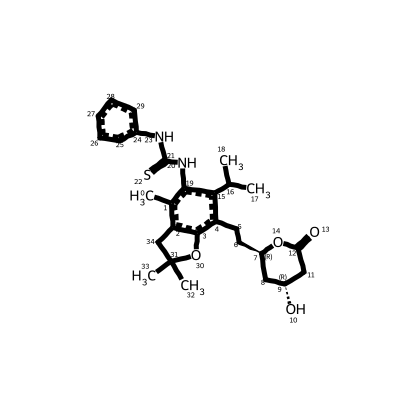 Cc1c2c(c(CC[C@@H]3C[C@@H](O)CC(=O)O3)c(C(C)C)c1NC(=S)Nc1ccccc1)OC(C)(C)C2